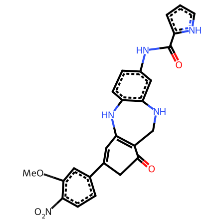 COc1cc(C2=CC3=C(CNc4cc(NC(=O)c5ccc[nH]5)ccc4N3)C(=O)C2)ccc1[N+](=O)[O-]